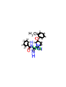 Cc1ccccc1OC1CCN(NC(=N)NC(=O)c2ccccc2)C1.Cl